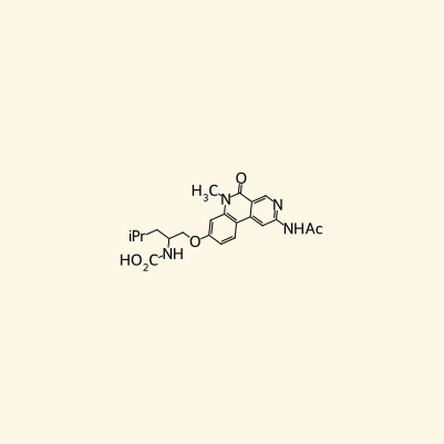 CC(=O)Nc1cc2c(cn1)c(=O)n(C)c1cc(OCC(CC(C)C)NC(=O)O)ccc21